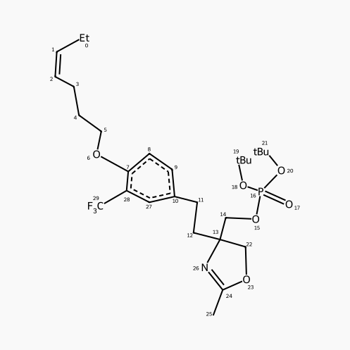 CC/C=C\CCCOc1ccc(CCC2(COP(=O)(OC(C)(C)C)OC(C)(C)C)COC(C)=N2)cc1C(F)(F)F